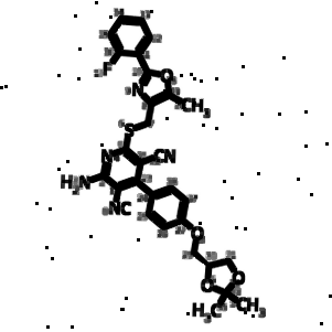 [C-]#[N+]c1c(N)nc(SCc2nc(-c3ccccc3F)oc2C)c(C#N)c1-c1ccc(OC[C@H]2COC(C)(C)O2)cc1